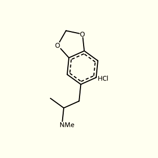 CNC(C)Cc1ccc2c(c1)OCO2.Cl